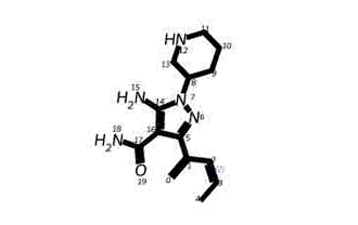 C=C(/C=C\C)c1nn(C2CCCNC2)c(N)c1C(N)=O